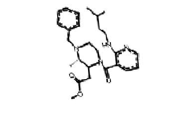 COC(=O)C[C@H]1[C@H](C)N(Cc2ccccc2)CCN1C(=O)c1cccnc1NCCC(C)C